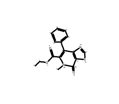 CCOC(=O)c1c(-c2ccccc2)c2ncsc2c(=O)n1C